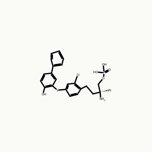 CCC[C@](N)(CCc1ccc(Sc2cc(-c3ccccc3)ccc2O)cc1Cl)COP(=O)(O)O